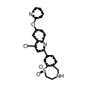 O=S1(=O)CCNCc2ccc(-c3cc(Cl)c4cc(Oc5ccccn5)ccc4n3)cc21